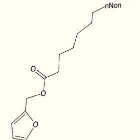 CCCCCCCCCCCCCCCC(=O)OCc1ccco1